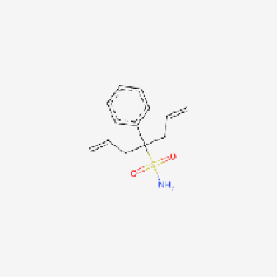 C=CCC(CC=C)(c1ccccc1)S(N)(=O)=O